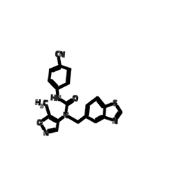 Cc1oncc1N(Cc1ccc2scnc2c1)C(=O)Nc1ccc(C#N)cc1